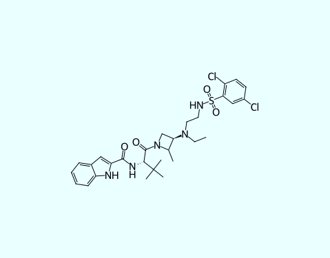 CCN(CCNS(=O)(=O)c1cc(Cl)ccc1Cl)[C@@H]1CN(C(=O)[C@@H](NC(=O)c2cc3ccccc3[nH]2)C(C)(C)C)C1C